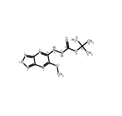 COc1nc2nonc2nc1NNC(=O)OC(C)(C)C